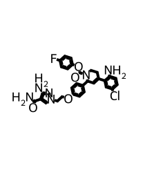 NC(=O)c1cn(CCOc2ccc(C3C=C(c4cc(Cl)ccc4N)CCN3C(=O)Oc3ccc(F)cc3)cc2)nc1N